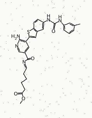 COC(=O)CCCC/C=N/C(=O)c1cnc(N)c(-c2cc3cc(NC(=O)Nc4cccc(C)c4)ccc3s2)c1